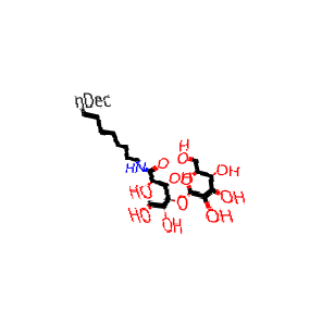 CCCCCCCCCCCCCCCCCCNC(=O)[C@H](O)[C@@H](O)[C@H](O[C@@H]1OC(CO)[C@H](O)C(O)C1O)[C@H](O)CO